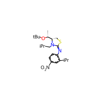 CC(C)CN1C(=Nc2ccc([N+](=O)[O-])cc2C(C)C)SC[C@H]1[C@@H](C)OC(C)(C)C